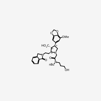 CCCCN(CCCO)C(=O)CN1C[C@H](c2cc(OC)c3c(c2)OCO3)[C@@H](C(=O)O)[C@@H]1CCN1Cc2ccccc2C1=O